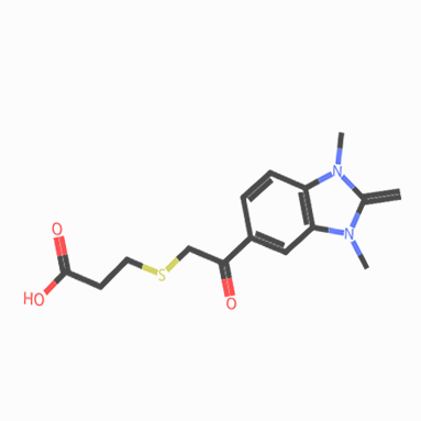 C=C1N(C)c2ccc(C(=O)CSCCC(=O)O)cc2N1C